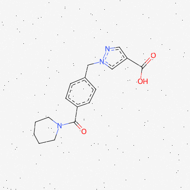 O=C(O)c1cnn(Cc2ccc(C(=O)N3CCCCC3)cc2)c1